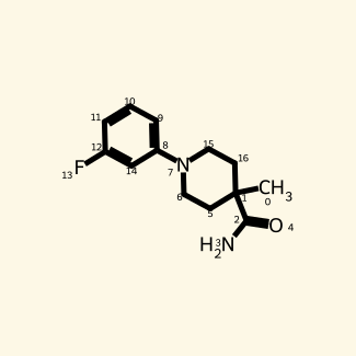 CC1(C(N)=O)CCN(c2cccc(F)c2)CC1